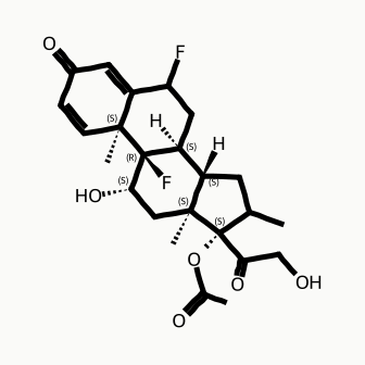 CC(=O)O[C@@]1(C(=O)CO)C(C)C[C@H]2[C@@H]3CC(F)C4=CC(=O)C=C[C@]4(C)[C@@]3(F)[C@@H](O)C[C@@]21C